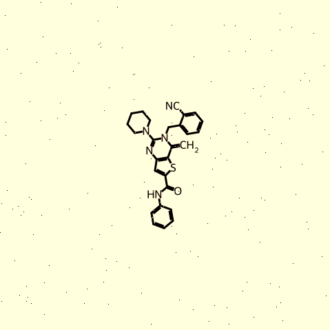 C=C1c2sc(C(=O)Nc3ccccc3)cc2N=C(N2CCCCC2)N1Cc1ccccc1C#N